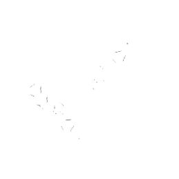 CC(C)(C)c1ccc(-n2nc(-c3cc4ccccc4cn3)cc2CCCCC(=O)NC(=O)C(N)Cc2ccc(O)cc2)cc1